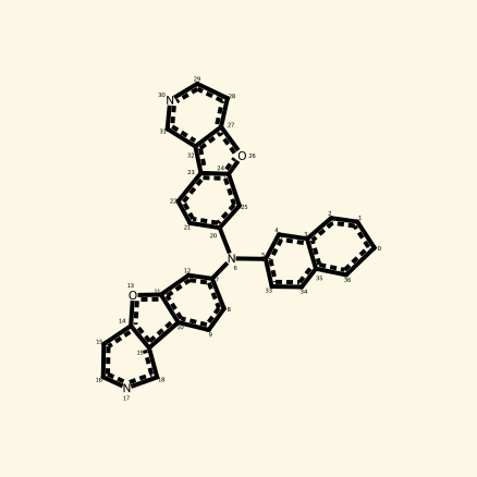 c1ccc2cc(N(c3ccc4c(c3)oc3ccncc34)c3ccc4c(c3)oc3ccncc34)ccc2c1